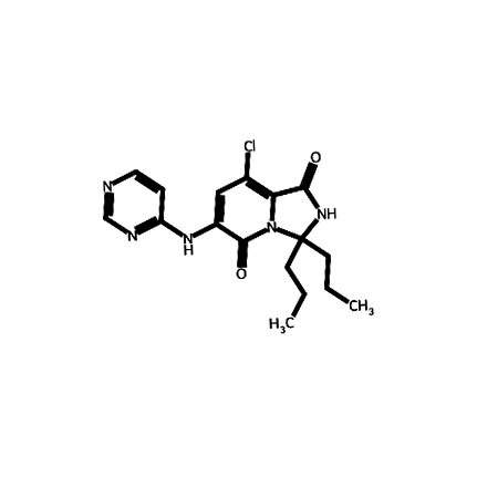 CCCC1(CCC)NC(=O)c2c(Cl)cc(Nc3ccncn3)c(=O)n21